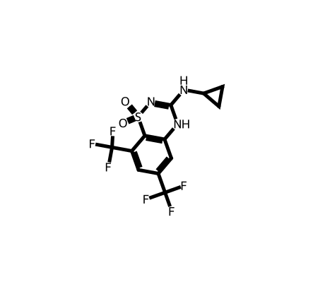 O=S1(=O)N=C(NC2CC2)Nc2cc(C(F)(F)F)cc(C(F)(F)F)c21